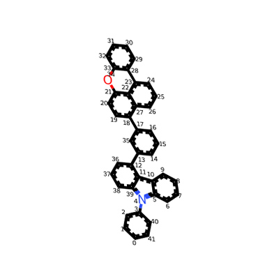 c1ccc(-n2c3ccccc3c3c(-c4cccc(-c5ccc6c7c(cccc57)-c5ccccc5O6)c4)cccc32)cc1